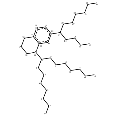 CCCCCCCC(CCCCCCC)N1CCCc2ncc(C(CCCC)CCCCCC)cc21